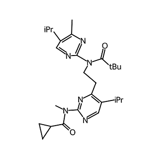 Cc1nc(N(CCc2nc(N(C)C(=O)C3CC3)ncc2C(C)C)C(=O)C(C)(C)C)ncc1C(C)C